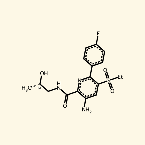 CCS(=O)(=O)c1cc(N)c(C(=O)NC[C@H](C)O)nc1-c1ccc(F)cc1